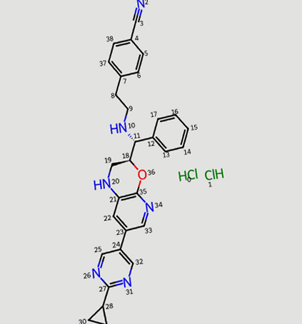 Cl.Cl.N#Cc1ccc(CCN[C@H](c2ccccc2)[C@@H]2CNc3cc(-c4cnc(C5CC5)nc4)cnc3O2)cc1